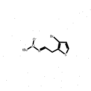 CC(C)(C)[S+]([O-])/N=C/Cc1sccc1Br